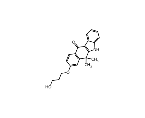 CC1(C)c2cc(OCCCO)ccc2C(=O)c2c1[nH]c1ccccc21